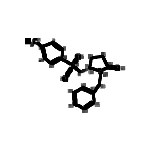 Cc1ccc(S(=O)(=O)C[C@@H]2CCC(=O)N2Cc2ccccc2)cc1